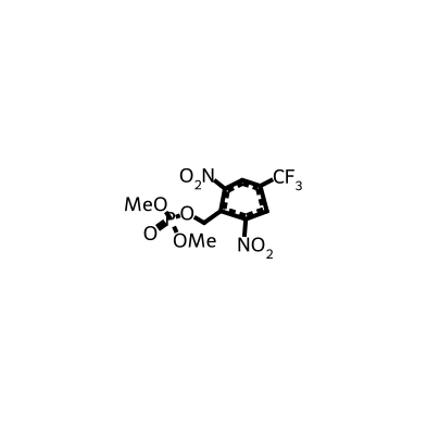 COP(=O)(OC)OCc1c([N+](=O)[O-])cc(C(F)(F)F)cc1[N+](=O)[O-]